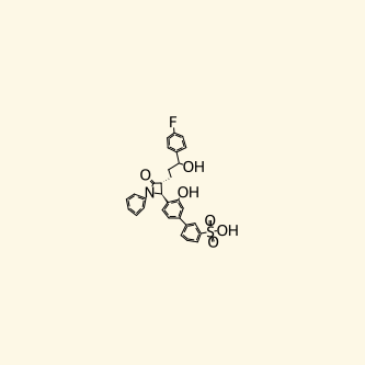 O=C1[C@H](CCC(O)c2ccc(F)cc2)[C@@H](c2ccc(-c3cccc(S(=O)(=O)O)c3)cc2O)N1c1ccccc1